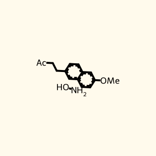 COc1ccc2cc(CCC(C)=O)ccc2c1.NO